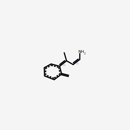 C=c1cccc/c1=C(C)/C=C\N